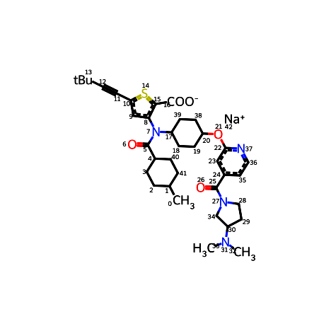 CC1CCC(C(=O)N(c2cc(C#CC(C)(C)C)sc2C(=O)[O-])C2CCC(Oc3cc(C(=O)N4CCC(N(C)C)C4)ccn3)CC2)CC1.[Na+]